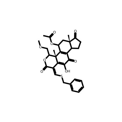 COCC1OC(=O)/C(=C/SCc2ccccc2)C2=C(O)C(=O)C3=C(C(OC(C)=O)C[C@]4(C)C(=O)CCC34)[C@]21C